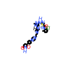 Cc1nc(Nc2ncc(C(=O)Nc3c(C)cccc3Cl)s2)cc(N2CC3[C@@H]2CN3CCCN2CCN(c3ccc(C4CCC(=O)NC4=O)cc3)CC2)n1